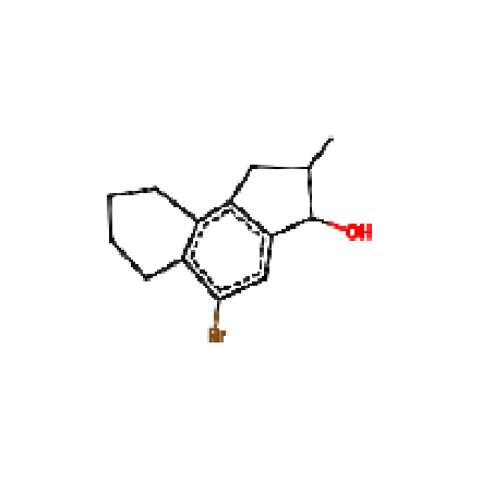 CC1Cc2c(cc(Br)c3c2CCCC3)C1O